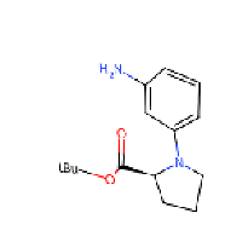 CC(C)(C)OC(=O)[C@@H]1CCCN1c1cccc(N)c1